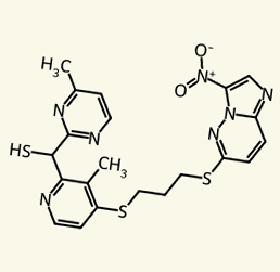 Cc1ccnc(C(S)c2nccc(SCCCSc3ccc4ncc([N+](=O)[O-])n4n3)c2C)n1